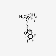 CC(C)(CCCCCNC(=O)c1c(F)c(F)c(F)c(F)c1F)O[SiH3]